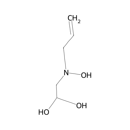 C=CCN(O)CC(O)O